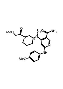 COCC(=O)N1CCC[C@H](N(C)c2cc(Nc3ccc(OC)cc3)ncc2C(N)=O)C1